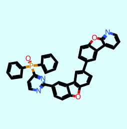 O=P(c1ccccc1)(c1ccccc1)c1ccnc(-c2ccc3oc4ccc(-c5ccc6oc7ncccc7c6c5)cc4c3c2)n1